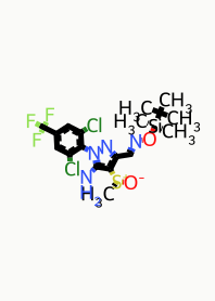 C[S+]([O-])c1c(C=NO[Si](C)(C)C(C)(C)C)nn(-c2c(Cl)cc(C(F)(F)F)cc2Cl)c1N